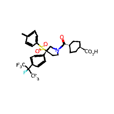 Cc1ccc(S(=O)(=O)[C@@]2(c3ccc(C(F)(C(F)(F)F)C(F)(F)F)cc3)CCN(C(=O)[C@H]3CC[C@H](C(=O)O)CC3)C2)cc1